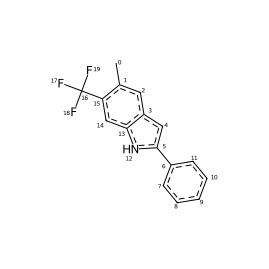 Cc1cc2cc(-c3ccccc3)[nH]c2cc1C(F)(F)F